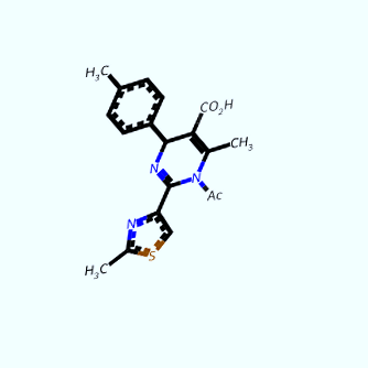 CC(=O)N1C(c2csc(C)n2)=NC(c2ccc(C)cc2)C(C(=O)O)=C1C